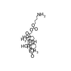 C[C@]12C=CC(=O)C=C1CC[C@@H]1[C@@H]2[C@@H](O)C[C@@]2(C)[C@H]1CC[C@]2(O)C(=O)COC(=O)OCCCCN